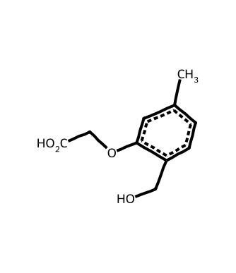 Cc1ccc(CO)c(OCC(=O)O)c1